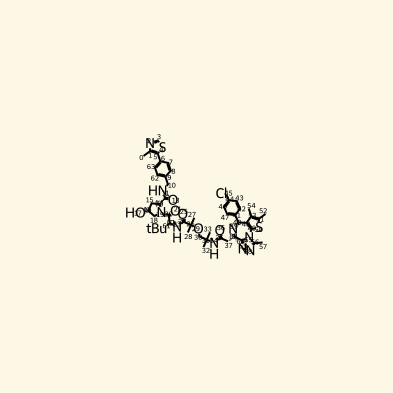 Cc1ncsc1-c1ccc(CNC(=O)[C@@H]2C[C@H](O)CN2C(=O)[C@@H](NC(=O)C(C)(C)OCC(C)(C)NC(=O)C[C@@H]2N=C(c3ccc(Cl)cc3)c3c(sc(C)c3C)-n3c(C)nnc32)C(C)(C)C)cc1